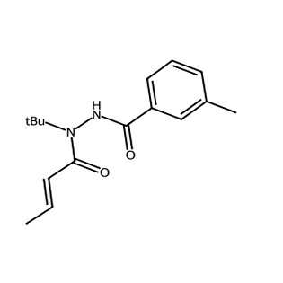 C/C=C/C(=O)N(NC(=O)c1cccc(C)c1)C(C)(C)C